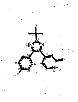 C=C/C=C(\C=C/N)c1nc(C(C)(C)C)[nH]c1-c1ccc(F)cc1